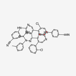 Cc1cccc(N(N=C(c2nc(Nc3ccc(C#N)cc3)ncc2-c2ccccc2Cl)c2nc(Nc3ccc(C#N)cc3)ncc2-c2ccccc2Cl)C(N)=O)c1